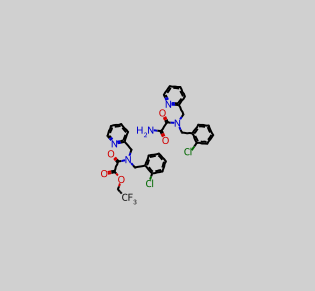 NC(=O)C(=O)N(Cc1ccccn1)Cc1ccccc1Cl.O=C(OCC(F)(F)F)C(=O)N(Cc1ccccn1)Cc1ccccc1Cl